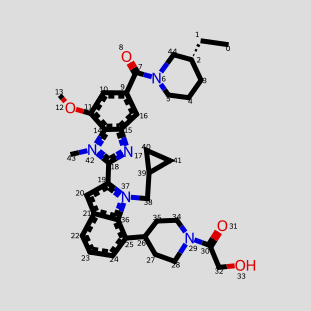 CC[C@@H]1CCCN(C(=O)c2cc(OC)c3c(c2)nc(-c2cc4cccc(C5CCN(C(=O)CO)CC5)c4n2CC2CC2)n3C)C1